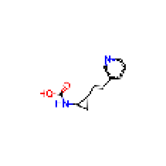 O=C(O)NC1CC1C=Cc1cccnc1